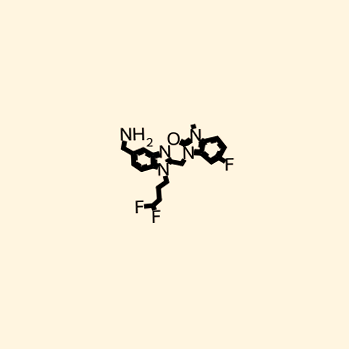 Cn1c(=O)n(Cc2nc3cc(CN)ccc3n2CCCC(F)F)c2cc(F)ccc21